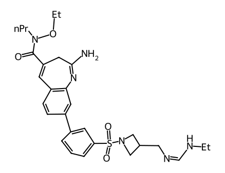 CCCN(OCC)C(=O)C1=Cc2ccc(-c3cccc(S(=O)(=O)N4CC(C/N=C\NCC)C4)c3)cc2N=C(N)C1